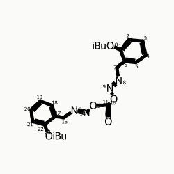 CC(C)COc1ccccc1CN=NOC(=O)ON=NCc1ccccc1OCC(C)C